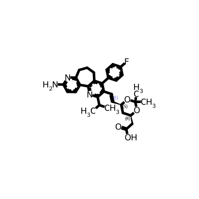 CC(C)c1nc2c(c(-c3ccc(F)cc3)c1/C=C/[C@@H]1C[C@H](CC(=O)O)OC(C)(C)O1)CCCc1nc(N)ccc1-2